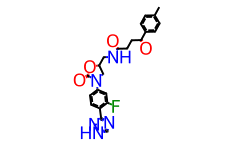 Cc1ccc(C(=O)CCC(=O)NCC2CN(c3ccc(-c4nc[nH]n4)c(F)c3)C(=O)O2)cc1